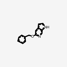 c1ccc(COc2cc3cc[nH]c3cn2)cc1